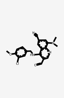 COc1ccc(CNc2c(C=O)cnc3c(N(C)C)cc(C#N)cc23)cc1Cl